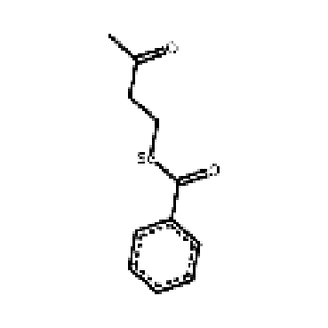 CC(=O)CC[Se]C(=O)c1ccccc1